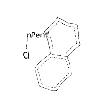 CCCCCCl.c1ccc2ccccc2c1